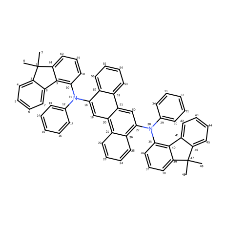 CC1(C)c2ccccc2-c2c(N(c3ccccc3)c3cc4c5ccccc5c(N(c5ccccc5)c5cccc6c5-c5ccccc5C6(C)C)cc4c4ccccc34)cccc21